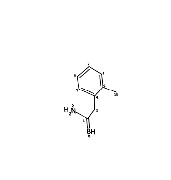 B=C(N)Cc1ccccc1C